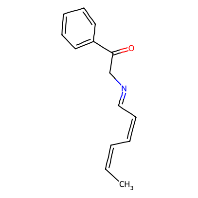 C\C=C/C=C\C=N\CC(=O)c1ccccc1